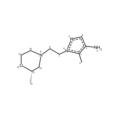 Cc1c(N)cnn1CCN1CCO[C@@H](C)C1